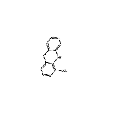 ClC(Cl)(Cl)c1cccc2c1Nc1ccccc1S2